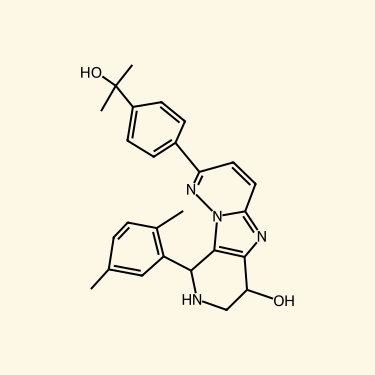 Cc1ccc(C)c(C2NCC(O)c3nc4ccc(-c5ccc(C(C)(C)O)cc5)nn4c32)c1